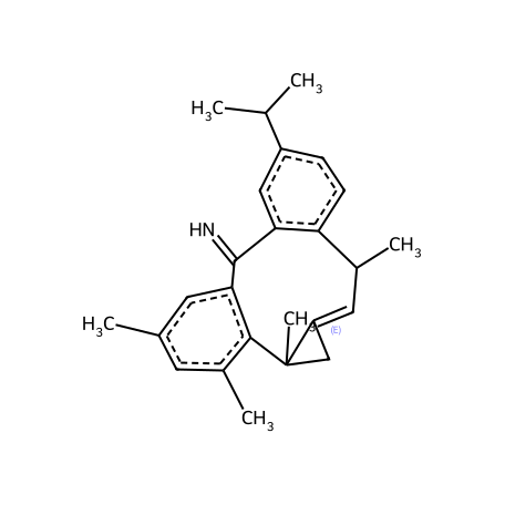 Cc1cc(C)c2c(c1)C(=N)c1cc(C(C)C)ccc1C(C)/C=C1\CC12C